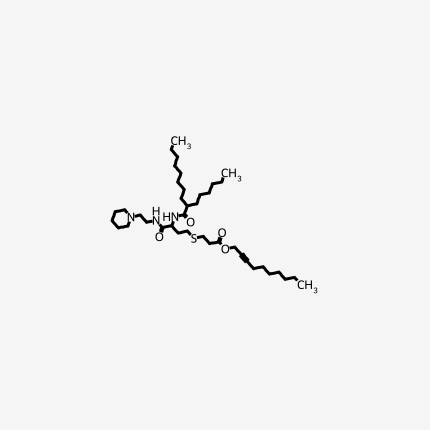 CCCCCCCC#CCOC(=O)CCSCCC(NC(=O)C(CCCCCC)CCCCCCCC)C(=O)NCCN1CCCCC1